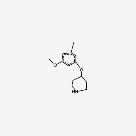 COc1cc(C)cc(OC2CCNCC2)c1